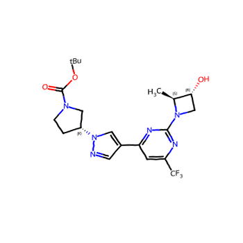 C[C@H]1[C@H](O)CN1c1nc(-c2cnn([C@@H]3CCN(C(=O)OC(C)(C)C)C3)c2)cc(C(F)(F)F)n1